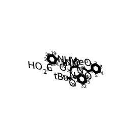 COc1ccccc1C(=O)CN1C(=O)C(NC(=O)Nc2cccc(C(=O)O)c2)CN(C(=O)C(C)(C)C)c2ccccc21